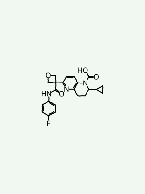 O=C(O)N1c2ccc(C3(C(=O)Nc4ccc(F)cc4)COC3)nc2CCC1C1CC1